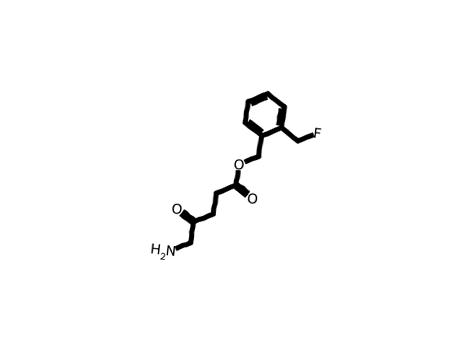 NCC(=O)CCC(=O)OCc1ccccc1CF